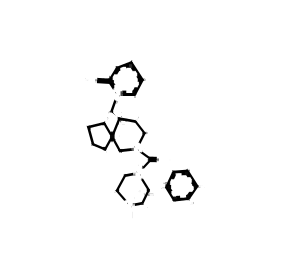 O=C(N1CC[C@H](Cn2ccccc2=O)C2(CCCC2)C1)N1CCNC[C@H]1c1ccccc1